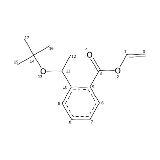 C=COC(=O)c1ccccc1C(C)OC(C)(C)C